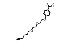 C#CCCCCOCCOCCOc1ccc(C(=O)OC)cc1